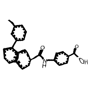 Cc1cccc(-c2cccc3ccc(C(=O)Nc4ccc(C(=O)O)cc4)cc23)c1